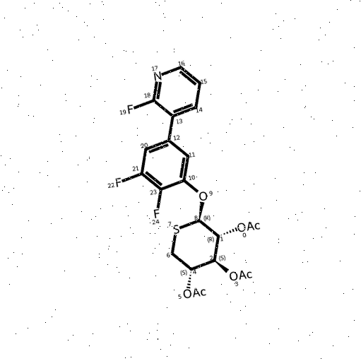 CC(=O)O[C@@H]1[C@@H](OC(C)=O)[C@H](OC(C)=O)CS[C@H]1Oc1cc(-c2cccnc2F)cc(F)c1F